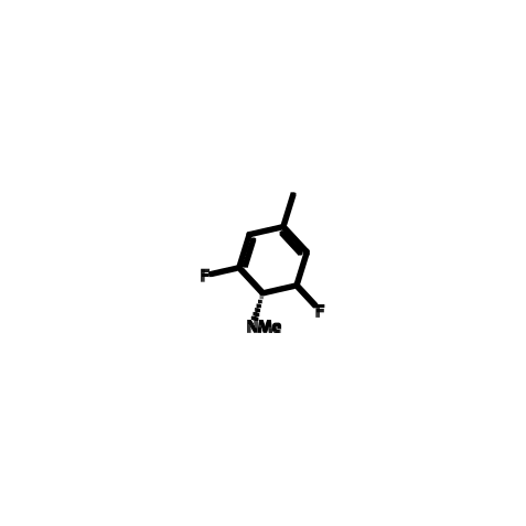 CN[C@@H]1C(F)=CC(C)=CC1F